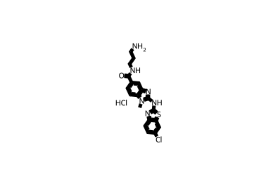 Cl.Cn1c(Nc2nc3ccc(Cl)cc3s2)nc2cc(C(=O)NCCCN)ccc21